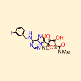 CNC(=O)[C@H]1O[C@@](C#N)(c2cnc3c(NCc4cccc(I)c4)ncnn23)[C@H](O)[C@@H]1O